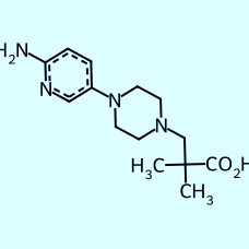 CC(C)(CN1CCN(c2ccc(N)nc2)CC1)C(=O)O